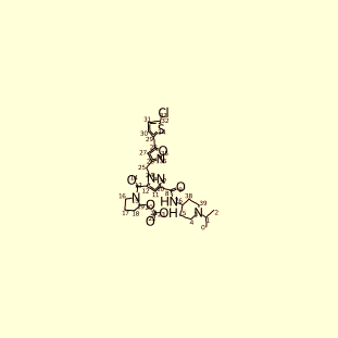 CC(C)N1CCC(NC(=O)c2cc(C(=O)N3CCCC3OC(=O)O)n(Cc3cc(-c4ccc(Cl)s4)on3)n2)CC1